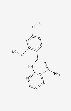 COc1ccc(CNc2nccnc2C(N)=O)c(OC)c1